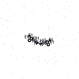 CCN(CC)c1cc(O)c(/N=N/c2ncc(-c3cnc(/N=N/c4c(O)cc(N(CC)CC)c5ccccc45)s3)s2)c2ccccc12